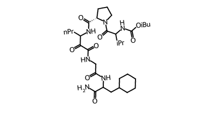 CCCC(NC(=O)[C@@H]1CCCN1C(=O)C(NC(=O)OCC(C)C)C(C)C)C(=O)C(=O)NCC(=O)NC(CC1CCCCC1)C(N)=O